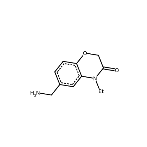 CCN1C(=O)COc2ccc(CN)cc21